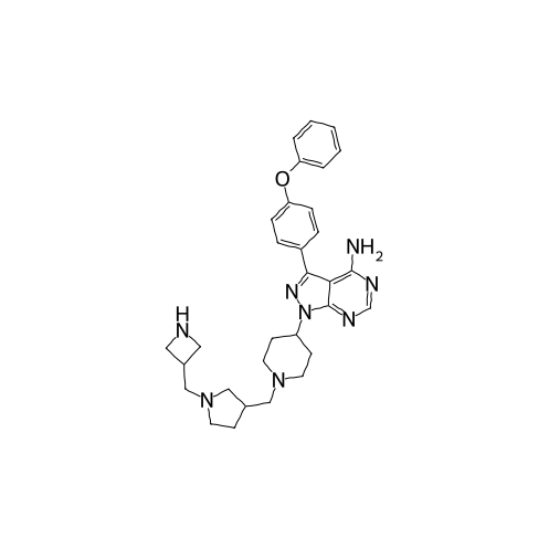 Nc1ncnc2c1c(-c1ccc(Oc3ccccc3)cc1)nn2C1CCN(CC2CCN(CC3CNC3)C2)CC1